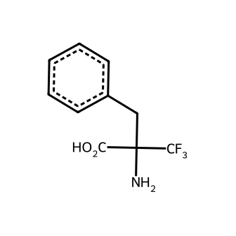 NC(Cc1ccccc1)(C(=O)O)C(F)(F)F